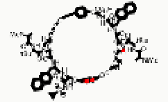 CN[C@@H](C)C(=O)N[C@H](C(=O)N1C[C@@H]2C[C@H]1C(=O)N[C@@H](Cc1ccc3ccccc3c1)C(=O)N[C@H](C(=O)O)Cc1ccc(cc1)CCCCO[C@H]1C[C@@H](C(=O)N[C@@H](Cc3ccc4ccccc4c3)C(=O)N[C@H](C(=O)NS(=O)(=O)C3CC3)Cc3ccc(cc3)OCc3cn2nn3)N(C(=O)[C@@H](NC(=O)[C@H](C)NC)C(C)(C)C)C1)C(C)(C)C